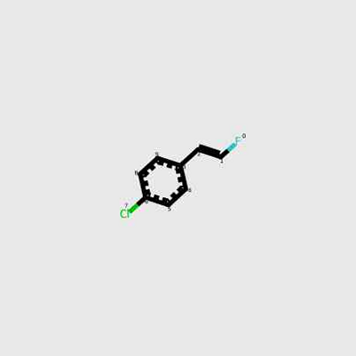 FC=Cc1ccc(Cl)cc1